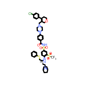 O=C(NS(=O)(=O)c1ccc(N[C@H](CCN2C3CCC2CC3)CSc2ccccc2)c(S(=O)(=O)C(F)(F)F)c1)c1ccc(N2CCN(CC3=C(c4ccc(Cl)cc4)CCOC3)CC2)cc1